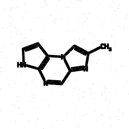 Cc1cn2c(cnc3[nH]ccc32)n1